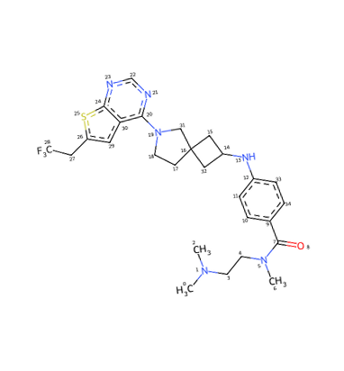 CN(C)CCN(C)C(=O)c1ccc(NC2CC3(CCN(c4ncnc5sc(CC(F)(F)F)cc45)C3)C2)cc1